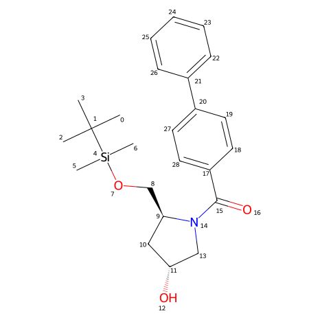 CC(C)(C)[Si](C)(C)OC[C@@H]1C[C@@H](O)CN1C(=O)c1ccc(-c2ccccc2)cc1